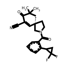 CC1(C)C[C@]2(C=C(C#N)C1=O)CCN(C(=O)c1ccccc1C1CC1(F)F)C2